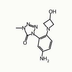 Cn1nnn(-c2cc(N)ccc2N2CC(O)C2)c1=O